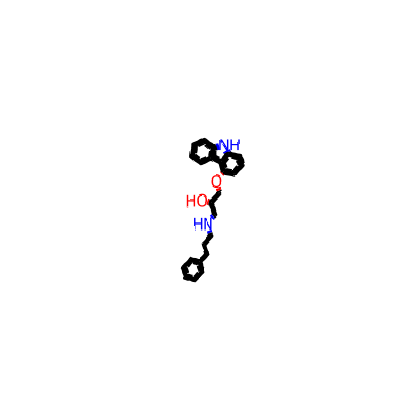 OC(CNCCCc1ccccc1)COc1cccc2[nH]c3ccccc3c12